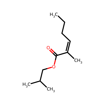 CCCC=C(C)C(=O)OCC(C)C